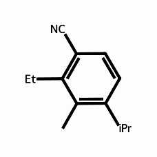 CCc1c(C#N)ccc(C(C)C)c1C